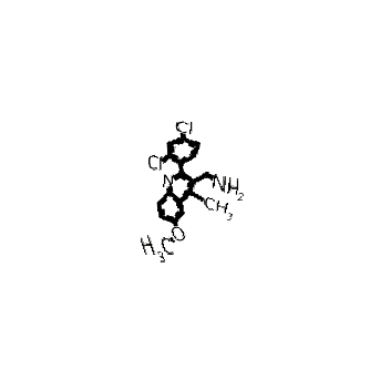 COc1ccc2nc(-c3ccc(Cl)cc3Cl)c(CN)c(C)c2c1